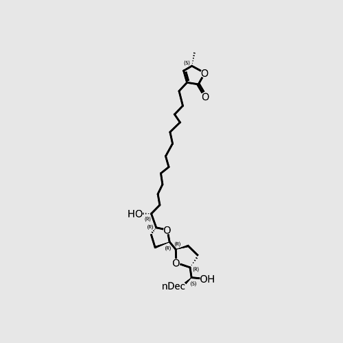 CCCCCCCCCC[C@H](O)[C@H]1CC[C@H]([C@H]2CC[C@H]([C@H](O)CCCCCCCCCCCCC3=C[C@H](C)OC3=O)O2)O1